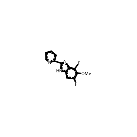 COc1c(F)cc2[nH]c(-c3ccccn3)nc2c1F